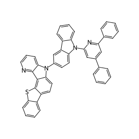 c1ccc(-c2cc(-c3ccccc3)nc(-n3c4ccccc4c4cc(-n5c6cccnc6c6c7sc8ccccc8c7ccc65)ccc43)c2)cc1